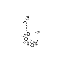 COc1cc(C(=O)N(C)c2ccc(C)cc2OCCCCCC(=O)N2CCN(C)CC2)ccc1NC(=O)c1cccc2[nH]c(N(C)C)nc12.Cl.Cl